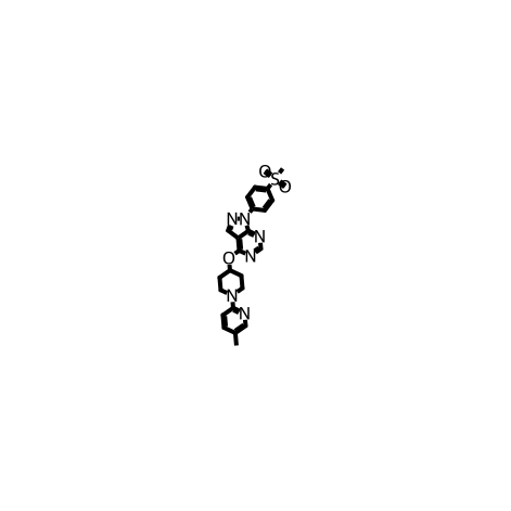 Cc1ccc(N2CCC(Oc3ncnc4c3cnn4-c3ccc(S(C)(=O)=O)cc3)CC2)nc1